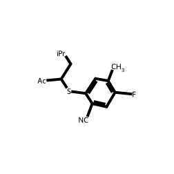 CC(=O)C(CC(C)C)Sc1cc(C)c(F)cc1C#N